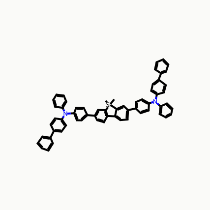 C[Si]1(C)c2cc(-c3ccc(N(c4ccccc4)c4ccc(-c5ccccc5)cc4)cc3)ccc2-c2ccc(-c3ccc(N(c4ccccc4)c4ccc(-c5ccccc5)cc4)cc3)cc21